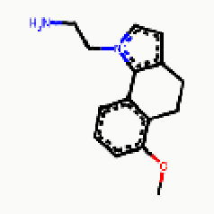 COc1cccc2c1CCc1ccn(CCN)c1-2